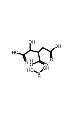 O=C(O)CC(C(=O)O)C(O)C(=O)O.OBO